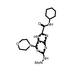 CNNc1nc(N2CCOCC2)c2[nH]c(C(=O)NC3CCCCC3)nc2n1